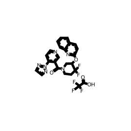 O=C(O)C(F)(F)F.O=C(c1cnccc1-n1nccn1)N1CCC(F)(F)C(Oc2ccc3ccccc3n2)C1